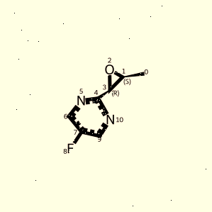 C[C@@H]1O[C@@H]1c1ncc(F)cn1